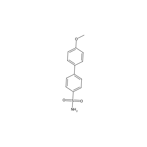 COc1ccc(-c2ccc(S(N)(=O)=O)cc2)cc1